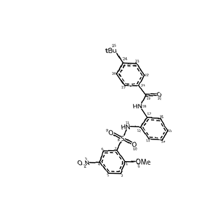 COc1ccc([N+](=O)[O-])cc1S(=O)(=O)Nc1ccccc1NC(=O)c1ccc(C(C)(C)C)cc1